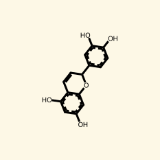 Oc1cc(O)c2c(c1)OC(c1ccc(O)c(O)c1)C=C2